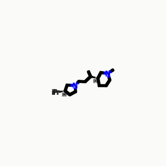 CC(C)[C@H]1CCN(CCC(C)[C@H]2CCCN(C)C2)C1